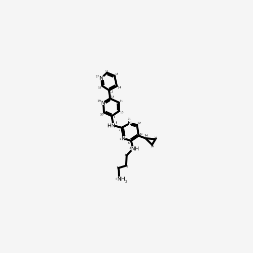 NCCCNc1nc(Nc2ccc(-c3cccnc3)nc2)ncc1C1CC1